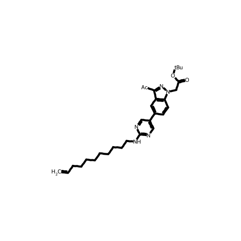 C=CCCCCCCCCCNc1ncc(-c2ccc3c(c2)c(C(C)=O)nn3CC(=O)OC(C)(C)C)cn1